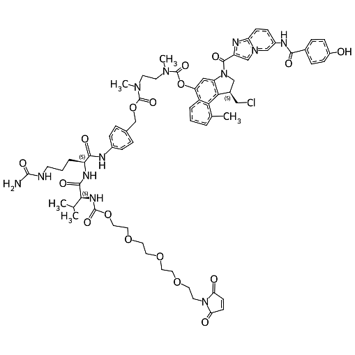 Cc1cccc2c(OC(=O)N(C)CCN(C)C(=O)OCc3ccc(NC(=O)[C@H](CCCNC(N)=O)NC(=O)[C@@H](NC(=O)OCCOCCOCCOCCN4C(=O)C=CC4=O)C(C)C)cc3)cc3c(c12)[C@H](CCl)CN3C(=O)c1cn2cc(NC(=O)c3ccc(O)cc3)ccc2n1